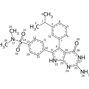 CC(C)c1cccc(-c2c(-c3ccc(S(=O)(=O)N(C)C)cc3)[nH]c3nc(N)[nH]c(=O)c23)c1